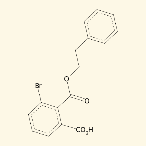 O=C(O)c1cccc(Br)c1C(=O)OCCc1ccccc1